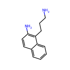 NCCCc1c(N)ccc2ccccc12